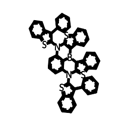 c1ccc(-c2c(N3c4cccc5c4B(c4c3sc3ccccc43)c3c(sc4ccccc34)N5c3sc4ccccc4c3-c3ccccc3)sc3ccccc23)cc1